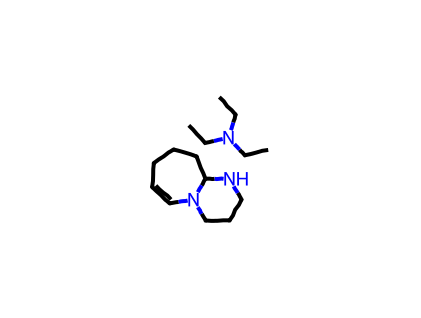 C1=CN2CCCNC2CCC1.CCN(CC)CC